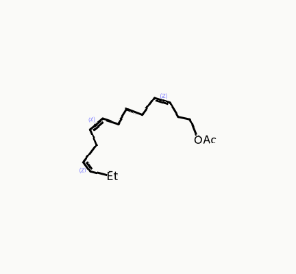 CC/C=C\C/C=C\CCC/C=C\CCOC(C)=O